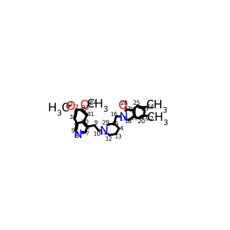 COc1cc2cncc(CCN3CCCC(CN4Cc5cc(C)c(C)cc5C4=O)C3)c2cc1OC